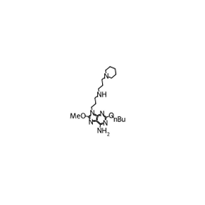 CCCCOc1nc(N)c2nc(OC)n(CCCNCCCN3CCCCC3)c2n1